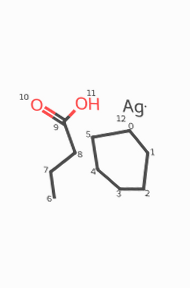 C1CCCCC1.CCCC(=O)O.[Ag]